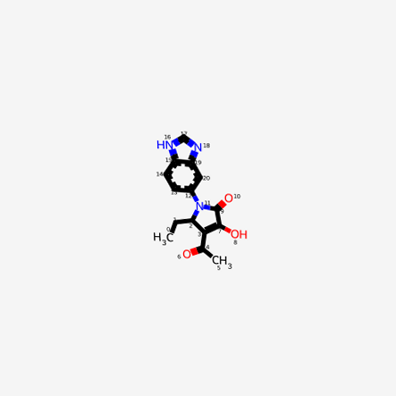 CCC1C(C(C)=O)=C(O)C(=O)N1c1ccc2[nH]cnc2c1